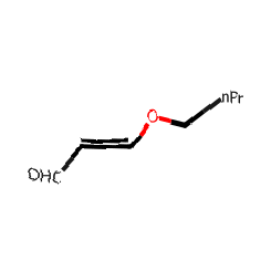 CCCCO/C=C/C=O